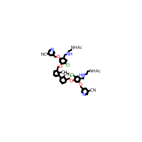 CC(=O)NCCNCc1cc(Cl)c(OCc2cccc(-c3cccc(COc4cc(OCc5cncc(C#N)c5)c(CNCCNC(C)=O)cc4Cl)c3C)c2C)cc1OCc1cncc(C#N)c1